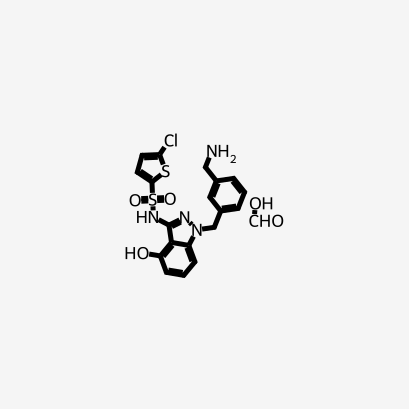 NCc1cccc(Cn2nc(NS(=O)(=O)c3ccc(Cl)s3)c3c(O)cccc32)c1.O=CO